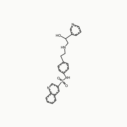 O=S(=O)(Nc1ccc(CCNCC(O)c2cccnc2)cc1)c1cnc2ccccc2c1